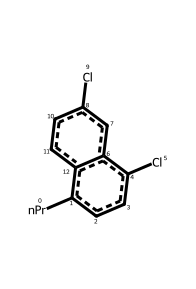 [CH2]CCc1ccc(Cl)c2cc(Cl)ccc12